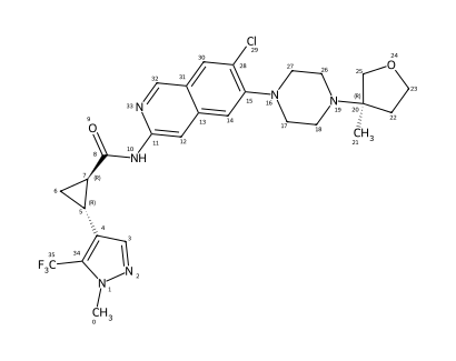 Cn1ncc([C@@H]2C[C@H]2C(=O)Nc2cc3cc(N4CCN([C@]5(C)CCOC5)CC4)c(Cl)cc3cn2)c1C(F)(F)F